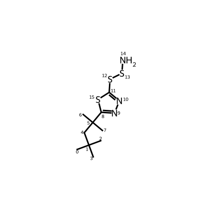 CC(C)(C)CC(C)(C)c1nnc(SSN)s1